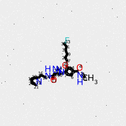 CCNC(=O)c1ccc(-n2cc(C(=O)NCCc3ccccn3)nn2)c(OCCCCCCF)c1